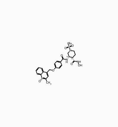 Cc1cc(COc2ccc(C(=O)N[C@@H]3CN(S(=O)(=O)C(C)(C)C)CC[C@@H]3C(=O)NO)cc2)c2ccccc2[n+]1[O-]